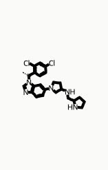 C[C@H](c1ccc(Cl)cc1Cl)n1cnc2ccc(N3CCC(NCC4CCCN4)C3)cc21